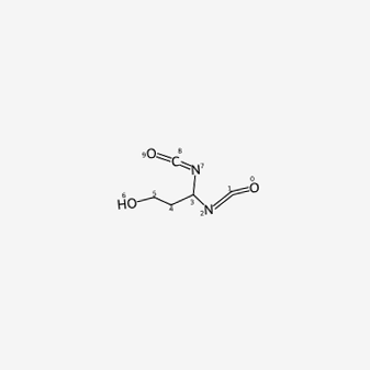 O=C=NC(CCO)N=C=O